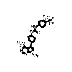 CC(C)n1cc(-c2ccc(NC(=O)Nc3ccc(C(F)(C(F)(F)F)C(F)(F)F)cc3)cc2)c2c(N)ncnc21